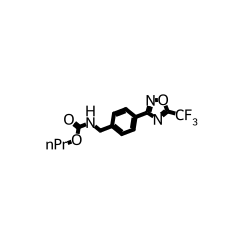 CCCOC(=O)NCc1ccc(-c2noc(C(F)(F)F)n2)cc1